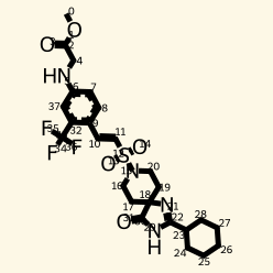 COC(=O)CNc1ccc(C=CS(=O)(=O)N2CCC3(CC2)N=C(C2CCCCC2)NC3=O)c(C(F)(F)F)c1